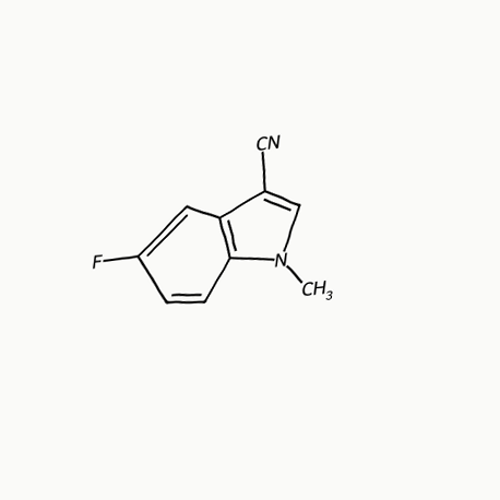 Cn1cc(C#N)c2cc(F)ccc21